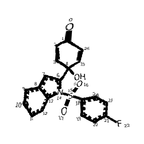 O=C1C=CC(O)(c2cc3ccccc3n2S(=O)(=O)c2ccc(F)cc2)C=C1